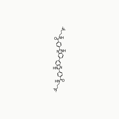 CN(C)CCCNC(=O)c1ccc(-c2nc3cc(-c4ccc5[nH]c(-c6ccc(C(=O)NCCCN(C)C)cc6)nc5c4)ccc3[nH]2)cc1